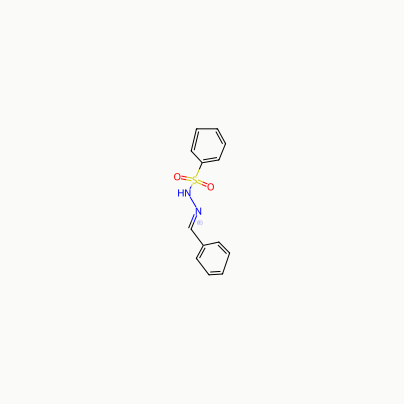 O=S(=O)(N/N=C/c1ccccc1)c1ccccc1